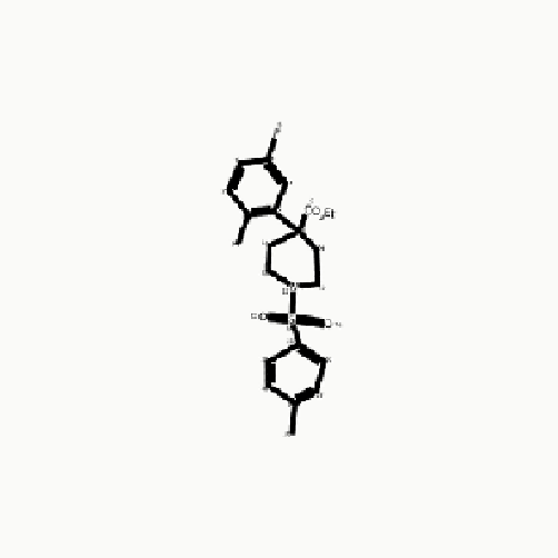 CCOC(=O)C1(c2cc(F)ccc2C)CCN(S(=O)(=O)c2ccc(C)cc2)CC1